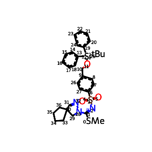 CS/C(=N/S(=O)(=O)c1ccc(CO[Si](c2ccccc2)(c2ccccc2)C(C)(C)C)cc1)N1CC2(C=N1)CCCC2